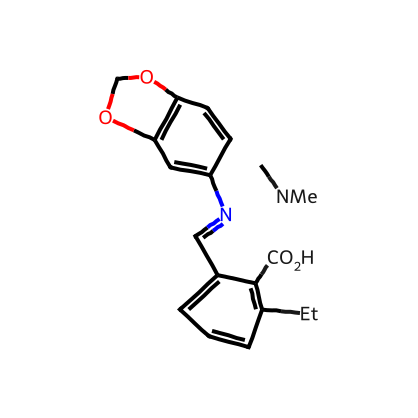 CCc1cccc(C=Nc2ccc3c(c2)OCO3)c1C(=O)O.CNC